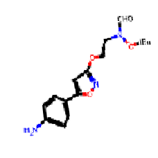 CC(C)(C)ON(C=O)CCOc1cc(-c2ccc(N)cc2)on1